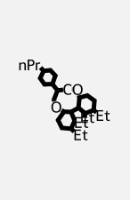 CCCC1CCC(C2COC3CCC(CC)C(CC)C3C3C(CCC(CC)C3CC)OC2)CC1